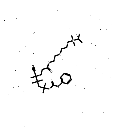 CC(C)[Si](C)(C)CCCOCCOC(=O)CCC(C)(C#N)C(C)(C)CC(C)(C)SC(=S)Sc1ccccc1